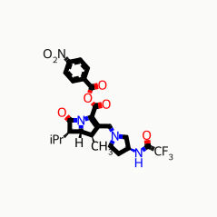 CC(C)[C@H]1C(=O)N2C(C(=O)OC(=O)c3ccc([N+](=O)[O-])cc3)=C(CN3CC[C@H](NC(=O)C(F)(F)F)C3)[C@H](C)[C@H]12